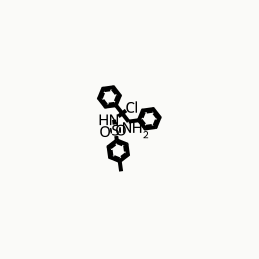 Cc1ccc(S(=O)(=O)NC(Cl)(c2ccccc2)C(N)c2ccccc2)cc1